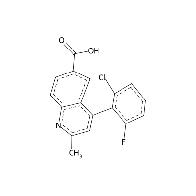 Cc1cc(-c2c(F)cccc2Cl)c2cc(C(=O)O)ccc2n1